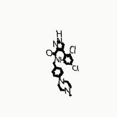 CN1CCN(c2ccc(CNC(=O)c3n[nH]cc3-c3ccc(Cl)cc3Cl)cc2)CC1